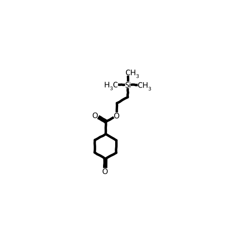 C[Si](C)(C)CCOC(=O)C1CCC(=O)CC1